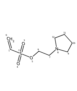 C=CS(=O)(=O)OCCN1CCCC1